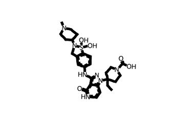 CCC1(n2nc(Nc3ccc4c(c3)CN(C3CCN(C)CC3)S4(O)O)c3c(=O)[nH]ccc32)CCN(C(=O)O)CC1